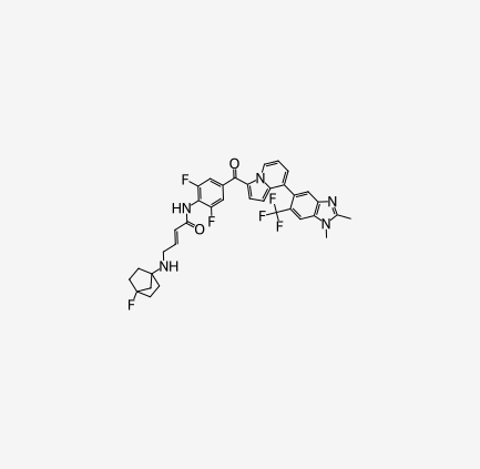 Cc1nc2cc(-c3cccn4c(C(=O)c5cc(F)c(NC(=O)/C=C/CNC67CCC(F)(CC6)C7)c(F)c5)ccc34)c(C(F)(F)F)cc2n1C